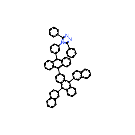 c1ccc(-c2nnc(-c3ccccc3)n2-c2cccc(-c3c4ccccc4c(-c4ccc5c(-c6ccc7ccccc7c6)c6ccccc6c(-c6ccc7ccccc7c6)c5c4)c4ccccc34)c2)cc1